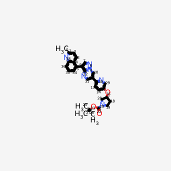 Cc1ccc2c(-c3cnn4cc(-c5ccc(OC6CCN(C(=O)OC(C)(C)C)C6)cn5)cnc34)cccc2n1